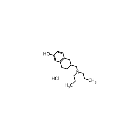 CCCN(CCC)CC1CCc2cc(O)ccc2C1.Cl